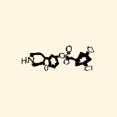 O=S(=O)(Oc1ccc2c(c1)C1CCNCC1O2)c1cc(Cl)cc(Cl)c1